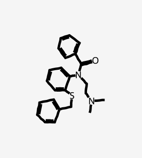 CN(C)CCN(C(=O)c1ccccc1)c1ccccc1SCc1ccccc1